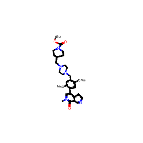 COc1cc(-c2cn(C)c(=O)c3cnccc23)c(OC)cc1CN1CCN(CC2CCN(C(=O)OC(C)(C)C)CC2)CC1